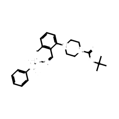 CC(C)(C)OC(=O)N1CCN(c2cccc(Cl)c2/C=N\NS(=O)(=O)c2ccccc2)CC1